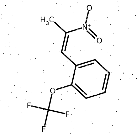 CC(=Cc1ccccc1OC(F)(F)F)[N+](=O)[O-]